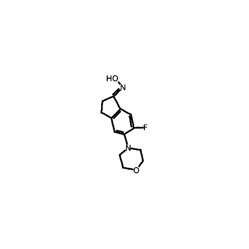 ON=C1CCc2cc(N3CCOCC3)c(F)cc21